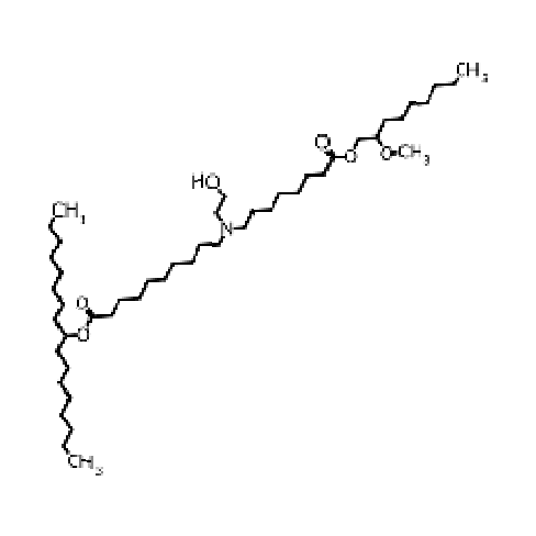 CCCCCCCCC(CCCCCCCC)OC(=O)CCCCCCCCCN(CCO)CCCCCCCC(=O)OCC(CCCCCCC)OC